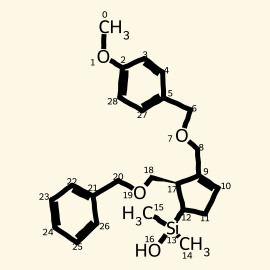 COc1ccc(COCC2=CCC([Si](C)(C)O)[C@H]2COCc2ccccc2)cc1